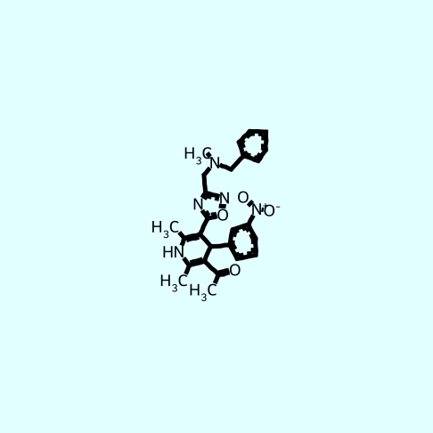 CC(=O)C1=C(C)NC(C)=C(c2nc(CN(C)Cc3ccccc3)no2)C1c1cccc([N+](=O)[O-])c1